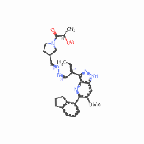 C\C=C(/C=N\N=C\C1CCN(C(=O)[C@@H](C)O)C1)c1n[nH]c2cc(OC)c(-c3cccc4c3CCC4)nc12